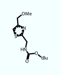 COCc1csc(CNC(=O)OC(C)(C)C)n1